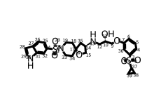 O=S(=O)(c1cccc(OC[C@@H](O)CN[C@H]2COC3(CCN(S(=O)(=O)c4ccc5cc[nH]c5c4)CC3)C2)c1)C1CC1